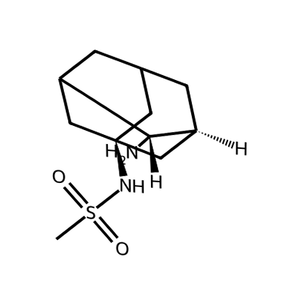 CS(=O)(=O)N[C@]12CC3CC(C1)[C@@H](N)[C@@H](C3)C2